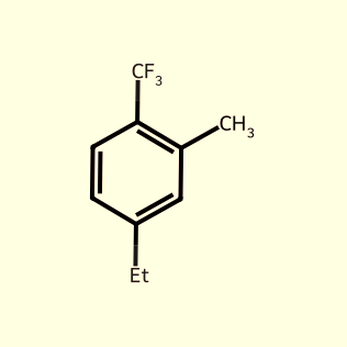 CCc1ccc(C(F)(F)F)c(C)c1